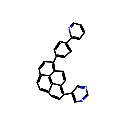 c1ccc(-c2ccc(-c3ccc4ccc5ccc(-c6cncnc6)c6ccc3c4c56)cc2)nc1